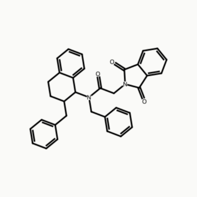 O=C1c2ccccc2C(=O)N1CC(=O)N(Cc1ccccc1)C1c2ccccc2CCC1Cc1ccccc1